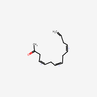 C=CC/C=C\C/C=C\C/C=C\CC(C)=O